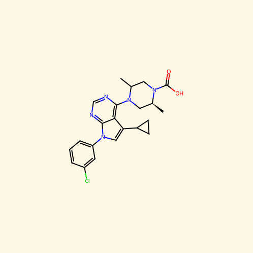 CC1CN(C(=O)O)[C@@H](C)CN1c1ncnc2c1c(C1CC1)cn2-c1cccc(Cl)c1